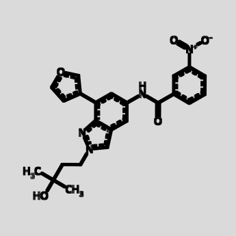 CC(C)(O)CCn1cc2cc(NC(=O)c3cccc([N+](=O)[O-])c3)cc(-c3ccoc3)c2n1